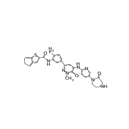 Cn1nc(-c2ccc(P)c(NC(=O)c3cc4c(s3)=CCCC=4)c2)cc(Nc2ccc(N3CCNCC3=O)cn2)c1=O